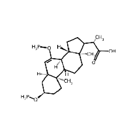 C[C@H](C(=O)O)C1CC[C@H]2[C@@H]3C(OP)=C[C@@H]4C[C@H](OP)CC[C@]4(C)[C@H]3CC[C@]12C